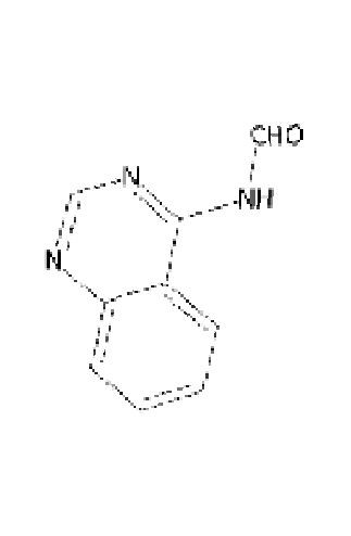 O=CNc1ncnc2ccccc12